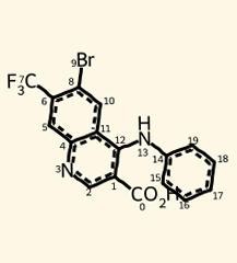 O=C(O)c1cnc2cc(C(F)(F)F)c(Br)cc2c1Nc1ccccc1